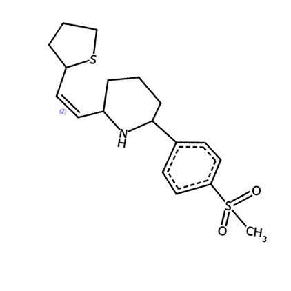 CS(=O)(=O)c1ccc(C2CCCC(/C=C\C3CCCS3)N2)cc1